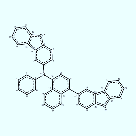 c1ccc(N(c2ccc3oc4ccccc4c3c2)c2ccc(-c3ccc4oc5ccccc5c4c3)c3ccccc23)cc1